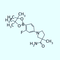 CC1(C(N)=O)CCN(c2ccc(B3OC(C)(C)C(C)(C)O3)c(F)c2)C1